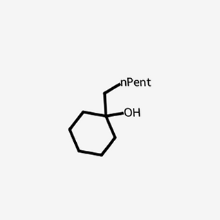 CCCCCCC1(O)CCCCC1